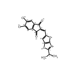 CC(C)c1nc2oc(C=C3C(=O)c4cc(Cl)c(Cl)cc4C3=O)cc2o1